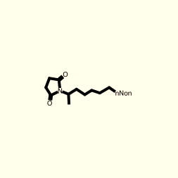 CCCCCCCCCCCCCCC(C)N1C(=O)CCC1=O